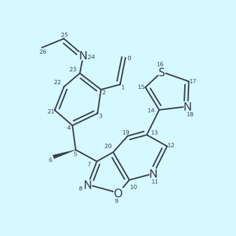 C=Cc1cc([C@H](C)c2noc3ncc(-c4cscn4)cc23)ccc1/N=C\C